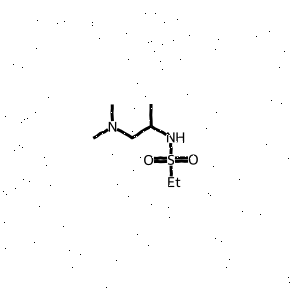 CCS(=O)(=O)NC(C)CN(C)C